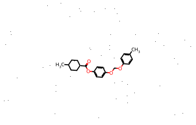 Cc1ccc(OCOc2ccc(OC(=O)C3CCC(C)CC3)cc2)cc1